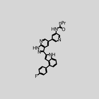 CCCC(=O)Nc1cncc(-c2cnc3[nH]nc(-c4cc5c(-c6ccc(F)cc6)cccc5[nH]4)c3c2)c1